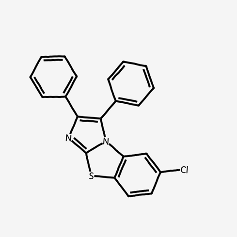 Clc1ccc2sc3nc(-c4ccccc4)c(-c4ccccc4)n3c2c1